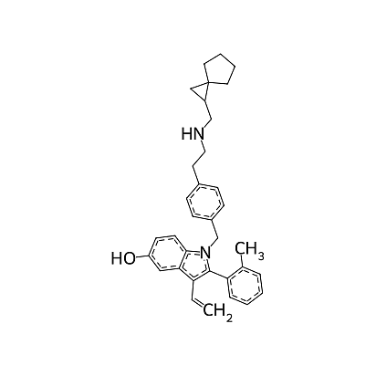 C=Cc1c(-c2ccccc2C)n(Cc2ccc(CCNCC3CC34CCCC4)cc2)c2ccc(O)cc12